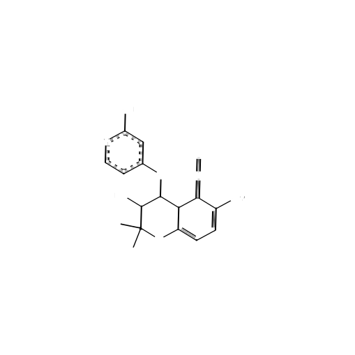 COC1=CC=C2OC(C)(C)C(O)C(Oc3ccnc(O)c3)C2C1=C=O